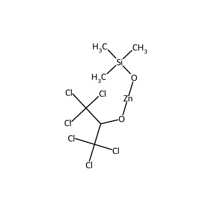 C[Si](C)(C)[O][Zn][O]C(C(Cl)(Cl)Cl)C(Cl)(Cl)Cl